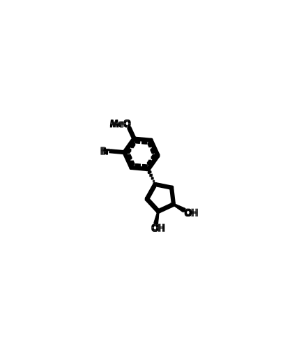 COc1ccc([C@@H]2C[C@@H](O)[C@@H](O)C2)cc1Br